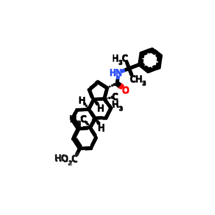 CC(C)(NC(=O)[C@H]1CC[C@H]2[C@@H]3CC=C4C=C(C(=O)O)CC[C@]4(C)[C@H]3CC[C@]12C)c1ccccc1